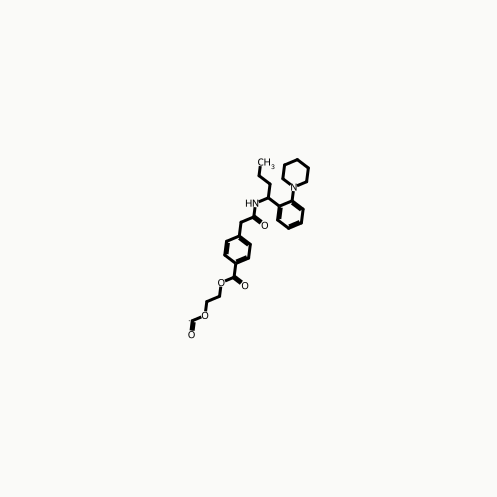 CCCC(NC(=O)Cc1ccc(C(=O)OCCO[C]=O)cc1)c1ccccc1N1CCCCC1